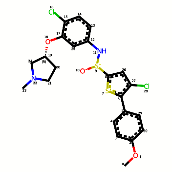 COc1ccc(-c2sc([S+]([O-])Nc3ccc(Cl)c(O[C@@H]4CCN(C)C4)c3)cc2Cl)cc1